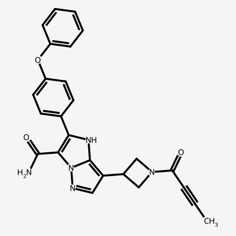 CC#CC(=O)N1CC(c2cnn3c(C(N)=O)c(-c4ccc(Oc5ccccc5)cc4)[nH]c23)C1